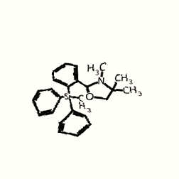 CN1C(c2ccccc2[Si](C)(c2ccccc2)c2ccccc2)OCC1(C)C